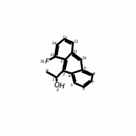 CC(O)c1c2ccccc2cc2cccc(F)c12